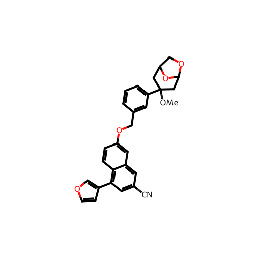 COC1(c2cccc(COc3ccc4c(-c5ccoc5)cc(C#N)cc4c3)c2)CC2COC(C1)O2